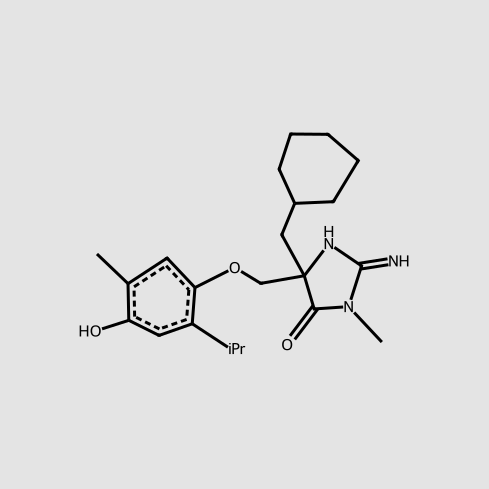 Cc1cc(OCC2(CC3CCCCC3)NC(=N)N(C)C2=O)c(C(C)C)cc1O